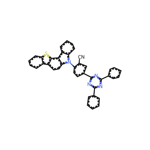 N#Cc1cc(-c2nc(-c3ccccc3)nc(-c3ccccc3)n2)ccc1-n1c2ccccc2c2c3sc4ccccc4c3ccc21